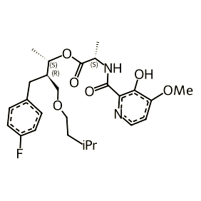 COc1ccnc(C(=O)N[C@@H](C)C(=O)O[C@@H](C)[C@@H](COCCC(C)C)Cc2ccc(F)cc2)c1O